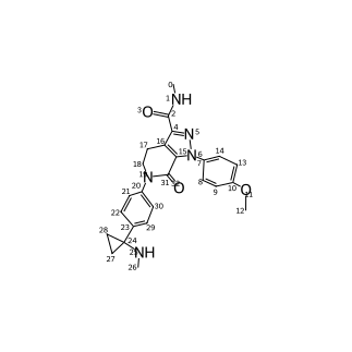 CNC(=O)c1nn(-c2ccc(OC)cc2)c2c1CCN(c1ccc(C3(NC)CC3)cc1)C2=O